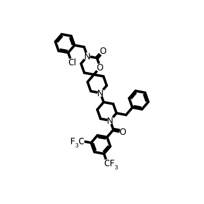 O=C1OC2(CCN1Cc1ccccc1Cl)CCN(C1CCN(C(=O)c3cc(C(F)(F)F)cc(C(F)(F)F)c3)C(Cc3ccccc3)C1)CC2